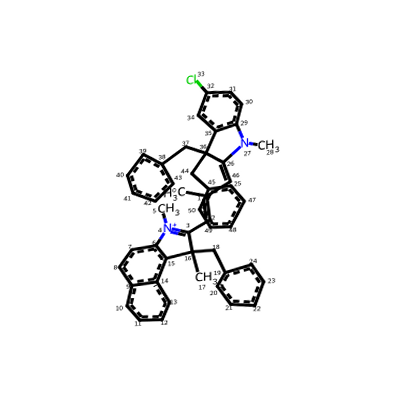 CC(=C\C1=[N+](C)c2ccc3ccccc3c2C1(C)Cc1ccccc1)/C=C1/N(C)c2ccc(Cl)cc2C1(Cc1ccccc1)Cc1ccccc1